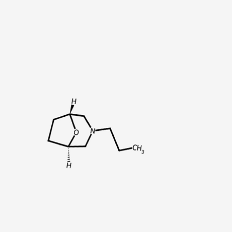 CCCN1C[C@H]2CC[C@H](C1)O2